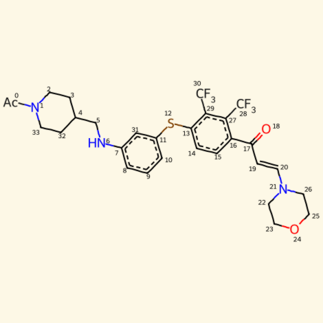 CC(=O)N1CCC(CNc2cccc(Sc3ccc(C(=O)C=CN4CCOCC4)c(C(F)(F)F)c3C(F)(F)F)c2)CC1